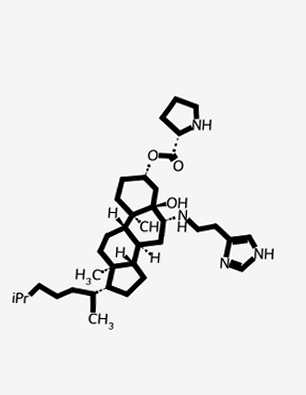 CC(C)CCCC(C)[C@H]1CC[C@H]2[C@@H]3C[C@@H](NCCc4c[nH]cn4)[C@@]4(O)C[C@@H](OC(=O)[C@@H]5CCCN5)CC[C@]4(C)[C@H]3CC[C@]12C